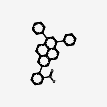 O=[N+]([O-])c1ccccc1-c1cc2ccc3c(-c4ccccc4)cc(-c4ccccc4)c4ccc(c1)c2c34